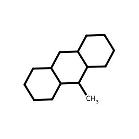 CC1C2CCCCC2CC2CCCCC21